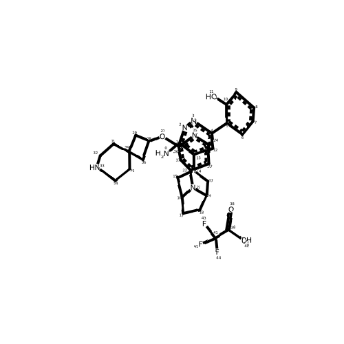 Nc1nnc(-c2ccccc2O)cc1N1CC2CCC(C1)N2c1ccnc(OC2CC3(CCNCC3)C2)c1.O=C(O)C(F)(F)F